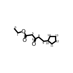 CCOC(=O)CC(=O)CCC1CCCC1